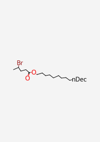 CCCCCCCCCCCCCCCCCCCOC(=O)CCC(C)Br